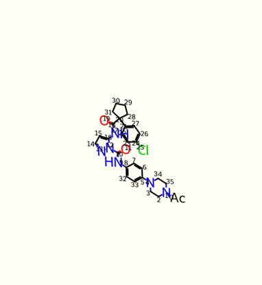 CC(=O)N1CCN(c2ccc(NC(=O)n3nccc3NC(=O)C3(c4ccc(Cl)cc4)CCCC3)cc2)CC1